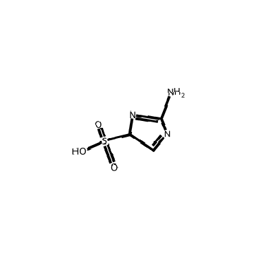 NC1=NC(S(=O)(=O)O)C=N1